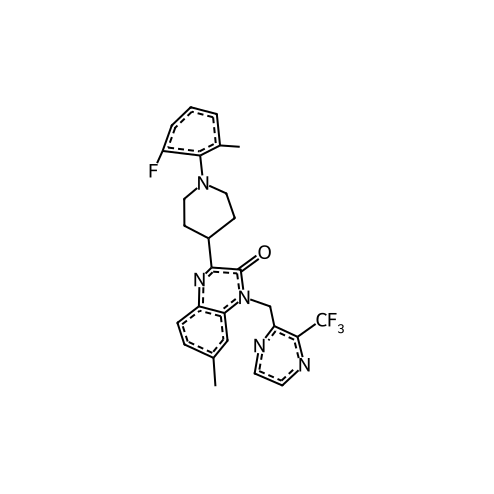 Cc1ccc2nc(C3CCN(c4c(C)cccc4F)CC3)c(=O)n(Cc3nccnc3C(F)(F)F)c2c1